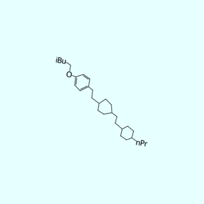 CCCC1CCC(CCC2CCC(CCc3ccc(OCC(C)CC)cc3)CC2)CC1